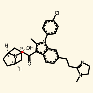 Cc1c(C(=O)CN2[C@@H]3CC[C@H]2C[C@H](O)C3)c2ccc(CCC3=NCCN3C)cc2n1-c1ccc(Cl)cc1